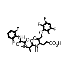 CC(NC(=O)C(=O)Nc1c(F)cccc1F)C(=O)NC(CCC(=O)O)C(=O)COc1c(F)c(F)cc(F)c1F